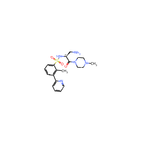 Cc1c(-c2ccccn2)cccc1S(=O)(=O)N[C@@H](CN)C(=O)N1CCN(C)CC1